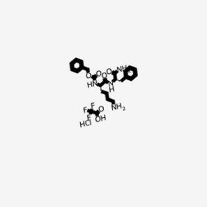 Cl.NCCCC[C@H](NC(=O)OCc1ccccc1)C(=O)N[C@@H](Cc1ccccc1)C(N)=O.O=C(O)C(F)(F)F